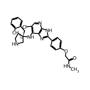 CNC(=O)COc1ccc(-c2nc3c(N[C@@]4(Cc5ccccc5C)CCNC4)c(Cl)cnc3[nH]2)cc1